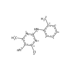 CCCc1c(C)nc(Nc2ccccc2C)nc1Cl